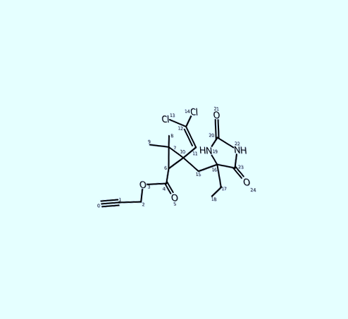 C#CCOC(=O)C1C(C)(C)C1(C=C(Cl)Cl)CC1(CC)NC(=O)NC1=O